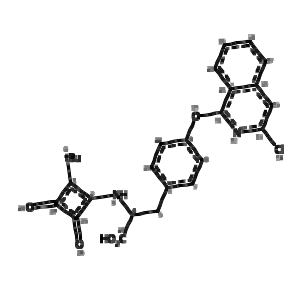 CC(C)(C)c1c(NC(Cc2ccc(Oc3nc(Cl)cc4ccccc34)cc2)C(=O)O)c(=O)c1=O